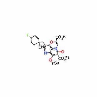 CCCCOc1c(C(=O)OCC)c(=O)n2c3c(c(CC4(C)C=CC(F)=CC4)cnc13)OC(C(=O)O)=C2